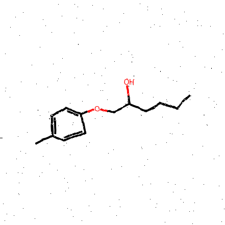 CCCCC(O)COc1ccc(C)cc1